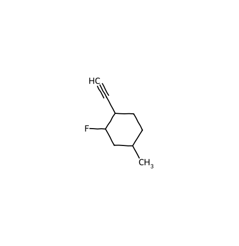 C#CC1CCC(C)CC1F